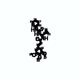 COc1cc(/C=C/C(=O)NC(NC(=S)Nc2ccccn2)C2CC2)cc(OC)c1OC